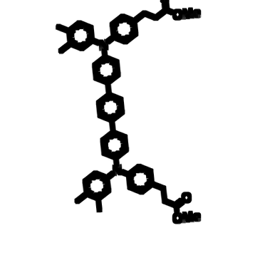 COC(=O)CCc1ccc(N(c2ccc(-c3ccc(-c4ccc(N(c5ccc(CCC(=O)OC)cc5)c5ccc(C)c(C)c5)cc4)cc3)cc2)c2ccc(C)c(C)c2)cc1